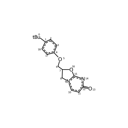 CC(C)(C)c1ccc(OCC2Cn3ccc(=O)nc3O2)cc1